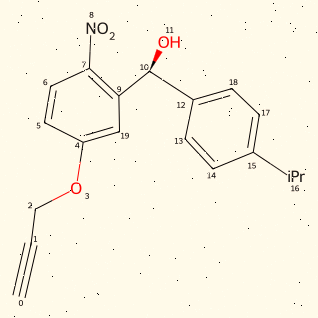 C#CCOc1ccc([N+](=O)[O-])c([C@@H](O)c2ccc(C(C)C)cc2)c1